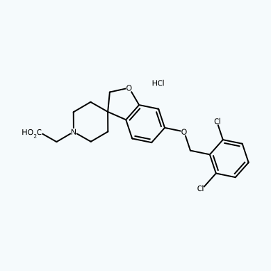 Cl.O=C(O)CN1CCC2(CC1)COc1cc(OCc3c(Cl)cccc3Cl)ccc12